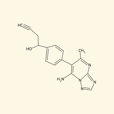 C#CCC(O)c1ccc(-c2c(C)nc3ncnn3c2N)cc1